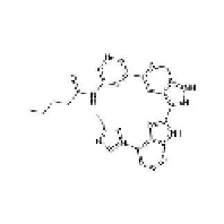 CCCCC(=O)Nc1cncc(-c2cc3c(-c4nc5c(-n6cnc(C)c6)cccc5[nH]4)n[nH]c3cn2)c1